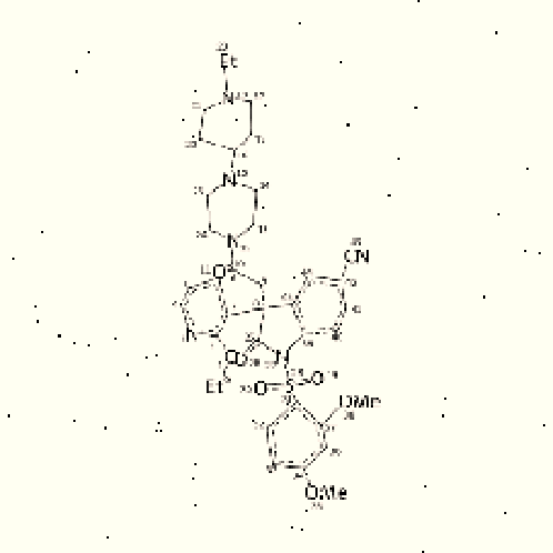 CCOc1ncccc1C1(CC(=O)N2CCN(C3CCN(CC)CC3)CC2)C(=O)N(S(=O)(=O)c2ccc(OC)cc2OC)c2ccc(C#N)cc21